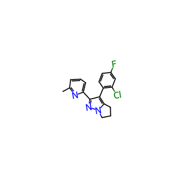 Cc1cccc(-c2nn3c(c2-c2ccc(F)cc2Cl)CCC3)n1